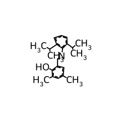 Cc1cc(C)c(O)c(C=Nc2c(C(C)C)cccc2C(C)C)c1